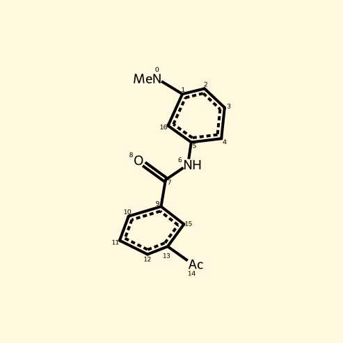 CNc1cccc(NC(=O)c2cccc(C(C)=O)c2)c1